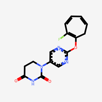 O=C1CCN(c2cnc(OC3=C(F)C=CC=CC3)nc2)C(=O)N1